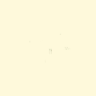 COC(CCl)NC(=O)c1c(F)cccc1Cl